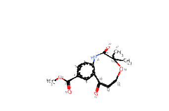 COC(=O)c1ccc2c(c1)C(=O)CCOC(C)(C)C(=O)N2